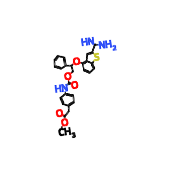 CCOC(=O)Cc1ccc(NC(=O)OCC(Oc2cccc3sc(C(=N)N)cc23)c2ccccc2)cc1